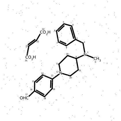 CN(Cc1ccccc1)C1CCN(c2ccc(C=O)cc2)CC1.O=C(O)C=CC(=O)O